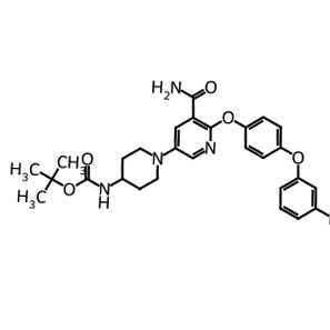 CC(C)(C)OC(=O)NC1CCN(c2cnc(Oc3ccc(Oc4cccc(F)c4)cc3)c(C(N)=O)c2)CC1